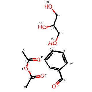 CC(=O)OC(C)=O.O=Cc1ccccc1.OCC(O)CO